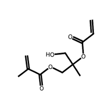 C=CC(=O)OC(C)(CO)COC(=O)C(=C)C